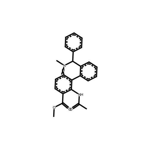 COC(=O)c1ccc(Cl)c(-c2ccccc2C(c2ccccc2)N(C)C)c1NC(C)=O